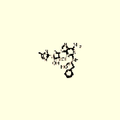 Cn1nnc([C@H]2O[C@@H](n3cnc4c(N)nc(N[C@H](CO)Cc5ccccc5)nc43)[C@H](O)[C@@H]2O)n1